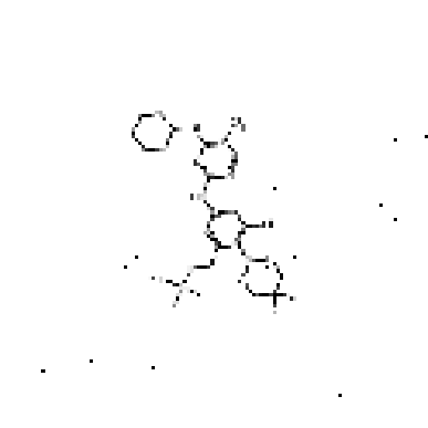 CC1(C)COB(c2c(Cl)cc(Nc3ncc(C(F)(F)F)c(NC4CCCCC4)n3)cc2CO[Si](C)(C)C(C)(C)C)OC1